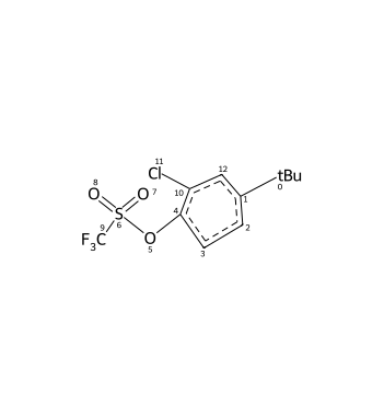 CC(C)(C)c1ccc(OS(=O)(=O)C(F)(F)F)c(Cl)c1